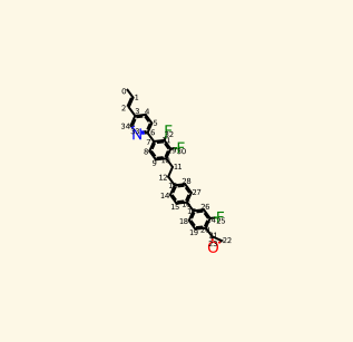 C/C=C/c1ccc(-c2ccc(CCc3ccc(-c4ccc(C5CO5)c(F)c4)cc3)c(F)c2F)nc1